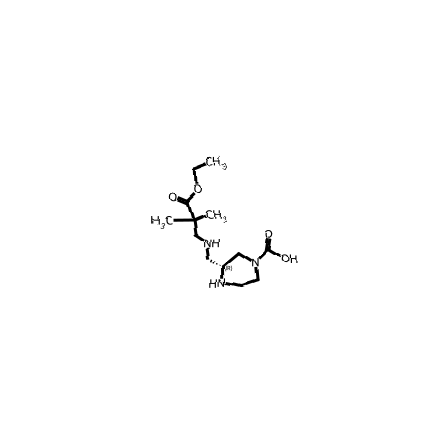 CCOC(=O)C(C)(C)CNC[C@@H]1CN(C(=O)O)CCN1